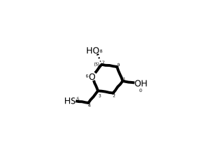 OC1CC(CS)O[C@H](O)C1